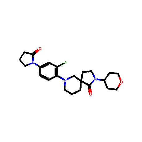 O=C1CCCN1c1ccc(N2CCCC3(CCN(C4CCOCC4)C3=O)C2)c(F)c1